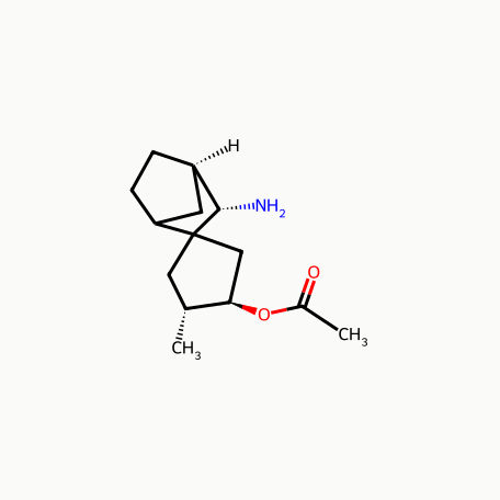 CC(=O)O[C@@H]1CC2(C[C@H]1C)C1CC[C@H](C1)[C@@H]2N